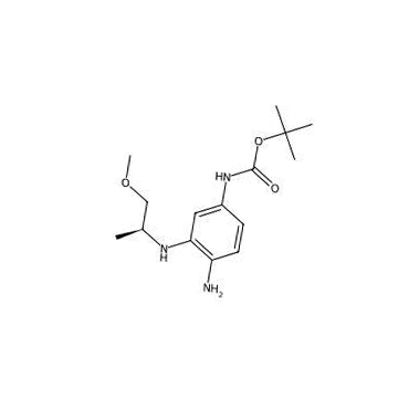 COC[C@H](C)Nc1cc(NC(=O)OC(C)(C)C)ccc1N